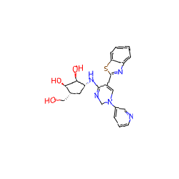 OC[C@H]1C[C@@H](NC2=NCN(c3cccnc3)C=C2c2nc3ccccc3s2)[C@H](O)[C@@H]1O